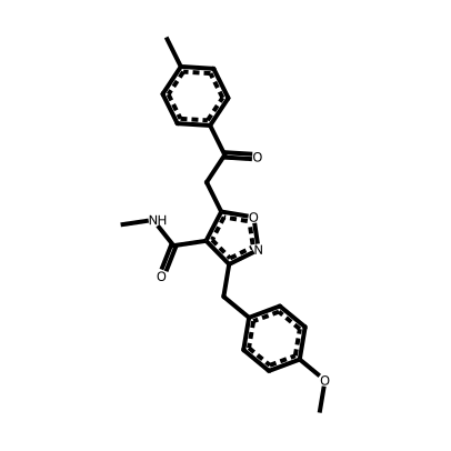 CNC(=O)c1c(Cc2ccc(OC)cc2)noc1CC(=O)c1ccc(C)cc1